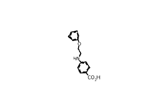 O=C(O)c1ccc(NCCOc2ccccc2)cc1